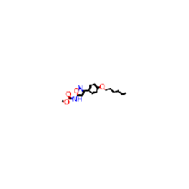 CCCCCCOc1ccc(-c2cc(NC(=O)OC)on2)cc1